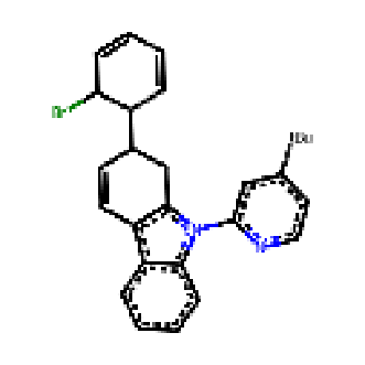 CC(C)(C)c1ccnc(-n2c3c(c4ccccc42)C=CC(C2C=CC=CC2Br)C3)c1